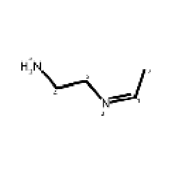 C/C=N\CCN